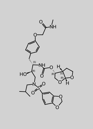 CNC(=O)COc1ccc(C[C@H](NC(=O)O[C@H]2CO[C@H]3OCC[C@H]32)[C@H](O)CN(CC(C)C)S(=O)(=O)c2ccc3c(c2)OCO3)cc1